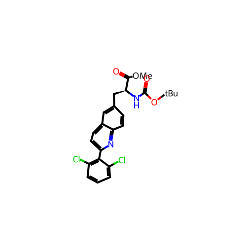 COC(=O)[C@H](Cc1ccc2nc(-c3c(Cl)cccc3Cl)ccc2c1)NC(=O)OC(C)(C)C